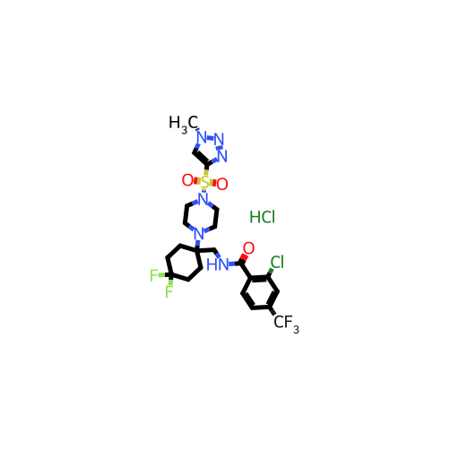 Cl.Cn1cc(S(=O)(=O)N2CCN(C3(CNC(=O)c4ccc(C(F)(F)F)cc4Cl)CCC(F)(F)CC3)CC2)nn1